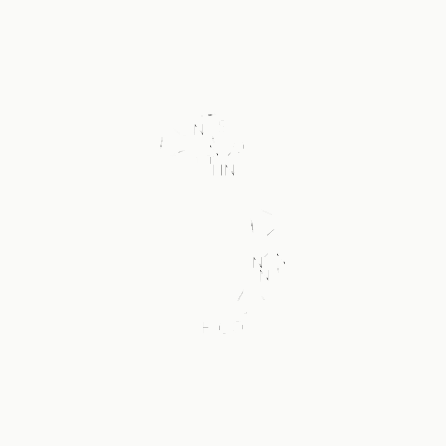 Cc1cccc(-n2c(C)cs/c2=N\C(=O)NCCCc2ccc(-c3ncn(-c4ccc(OC(F)(F)F)cc4)n3)cc2)c1C(C)C